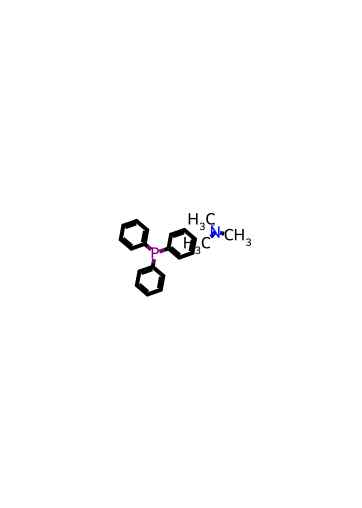 CN(C)C.c1ccc(P(c2ccccc2)c2ccccc2)cc1